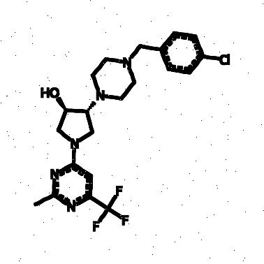 Cc1nc(N2C[C@@H](O)[C@H](N3CCN(Cc4ccc(Cl)cc4)CC3)C2)cc(C(F)(F)F)n1